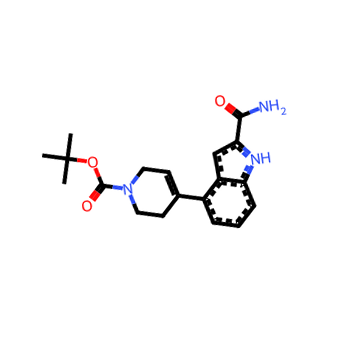 CC(C)(C)OC(=O)N1CC=C(c2cccc3[nH]c(C(N)=O)cc23)CC1